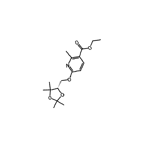 CCOC(=O)c1ccc(OC[C@@H]2OC(C)(C)OC2(C)C)nc1C